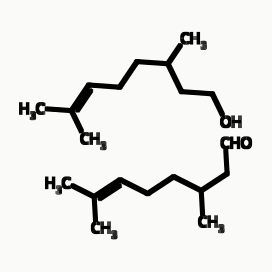 CC(C)=CCCC(C)CC=O.CC(C)=CCCC(C)CCO